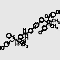 Cc1c(C(=O)N2CCC(O)CC2)c(-c2cccc(N3CCN(c4ccc(NNc5ccc(N[C@H](CCN6CCC(O)CC6)SC6=CCCC=C6)c(S(=O)(=O)C(F)(F)F)c5)cc4)CC3)c2)c(-c2ccc(Cl)cc2)n1C